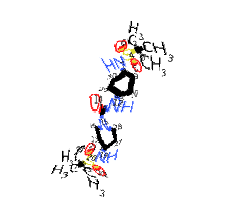 CC(C)(C)S(=O)(=O)Nc1ccc(NC(=O)N2CCC(NS(=O)(=O)C(C)(C)C)CC2)cc1